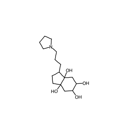 OC1CC2(O)CCC(CCCN3CCCC3)C2(O)CC1O